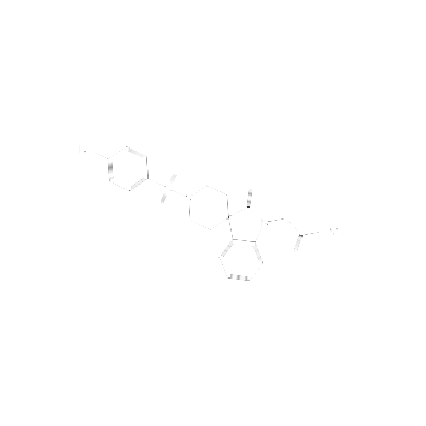 COC(=O)CN1C(=O)C2(CCN(S(=O)(=O)c3ccc(Br)cc3)CC2)c2ccccc21